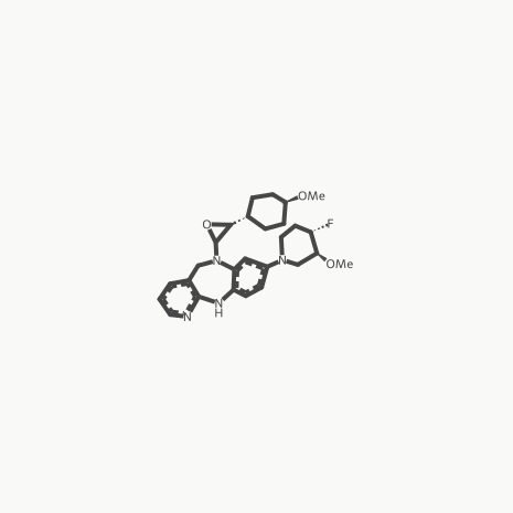 CO[C@H]1CN(c2ccc3c(c2)N(C2OC2[C@H]2CC[C@H](OC)CC2)Cc2cccnc2N3)CC[C@@H]1F